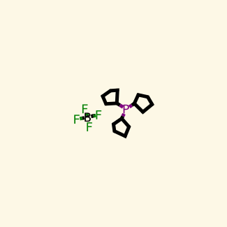 C1CCC(P(C2CCCC2)C2CCCC2)C1.F[B-](F)(F)F